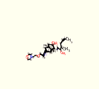 CC#CC[C@@H](C)[C@H](O)/C=C/[C@@H]1[C@H]2C/C(=C/COCCN3CCOCC3)C[C@H]2C[C@H]1O